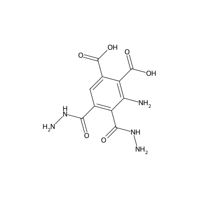 NNC(=O)c1cc(C(=O)O)c(C(=O)O)c(N)c1C(=O)NN